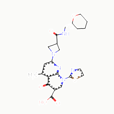 Cc1cc(N2CC(C(=O)NC[C@H]3CCCCO3)C2)nc2c1c(=O)c(C(=O)O)cn2-c1nccs1